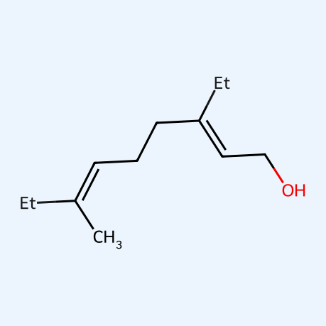 CCC(C)=CCCC(=CCO)CC